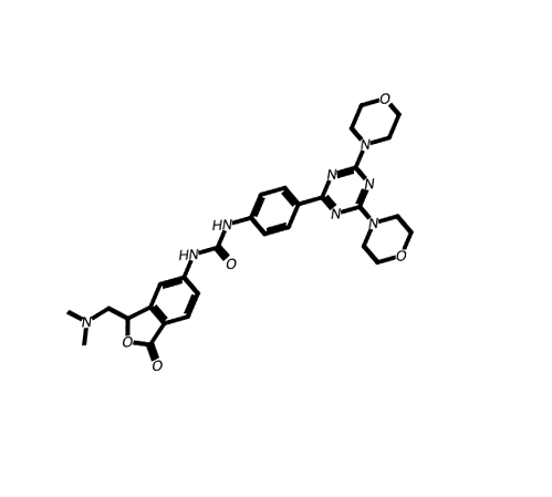 CN(C)CC1OC(=O)c2ccc(NC(=O)Nc3ccc(-c4nc(N5CCOCC5)nc(N5CCOCC5)n4)cc3)cc21